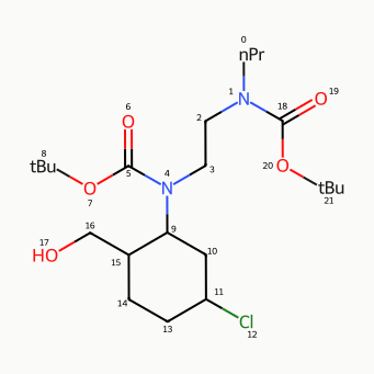 CCCN(CCN(C(=O)OC(C)(C)C)C1CC(Cl)CCC1CO)C(=O)OC(C)(C)C